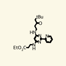 CCOC(=O)CCNc1cc(NCCC(=O)CC(C)(C)C)nc(-c2ccccn2)n1